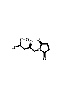 CCC(C=O)CC(=O)CN1C(=O)CCC1=O